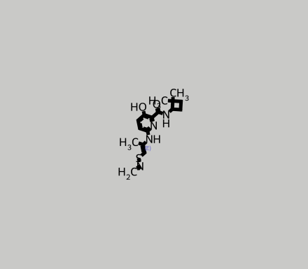 C=NS/C=C(\C)Nc1ccc(O)c(C(=O)NC2CCC2(C)C)n1